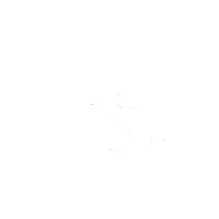 C[C@@H](CSC(CC(=O)O)C(=O)O)N(C)C